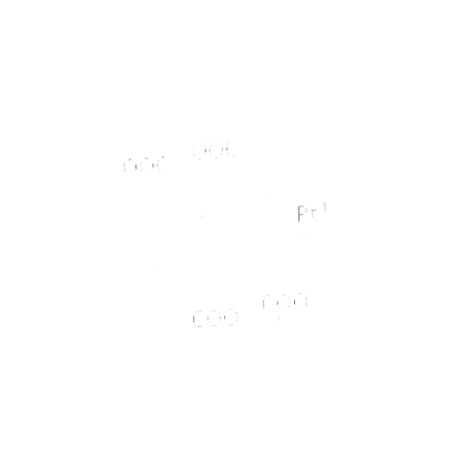 O=C([O-])CCC(=O)[O-].O=C([O-])CCC(=O)[O-].[Pt+4]